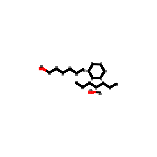 C1CCCCC1.CCCCCCC.CCCCCCO.CO